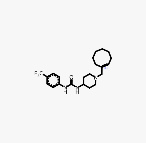 O=C(Nc1ccc(C(F)(F)F)cc1)NC1CCN(C/C2=C/CCCCCC2)CC1